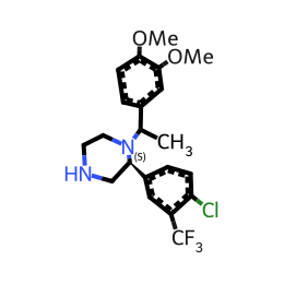 COc1ccc(C(C)N2CCNC[C@@H]2c2ccc(Cl)c(C(F)(F)F)c2)cc1OC